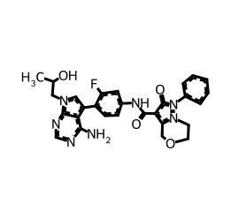 CC(O)Cn1cc(-c2ccc(NC(=O)c3c4n(n(-c5ccccc5)c3=O)CCOC4)cc2F)c2c(N)ncnc21